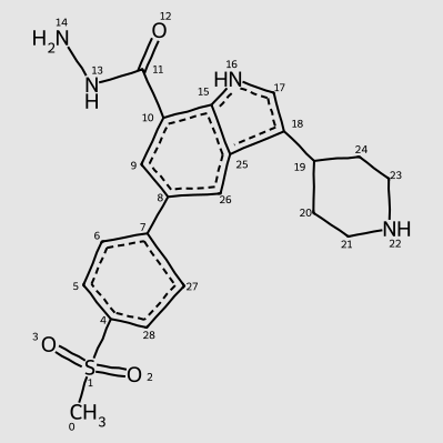 CS(=O)(=O)c1ccc(-c2cc(C(=O)NN)c3[nH]cc(C4CCNCC4)c3c2)cc1